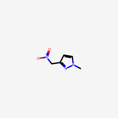 Cn1ccc(C[N+](=O)[O-])n1